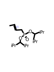 C/C=C/CP(=O)(OC(C(C)C)C(C)C)OC(C(C)C)C(C)C